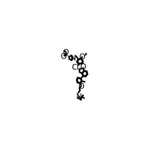 CCOc1cc(O[C@H]2CCc3c(-c4cccc(OCCCN5CCC5(C)C)c4C)cccc32)c(Cl)cc1CN1CC[C@@H](C(=O)OC)C1